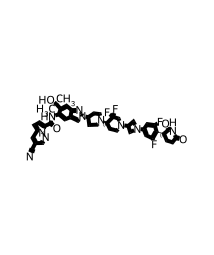 CC(C)(O)c1cc2nn(C3CCN([C@@H]4CCN(C5CN(c6cc(F)c([C@H]7CCC(=O)NC7=O)c(F)c6)C5)CC4(F)F)CC3)cc2cc1NC(=O)c1ccc2cc(C#N)cnn12